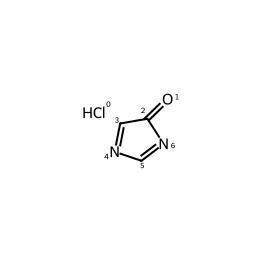 Cl.O=C1C=NC=N1